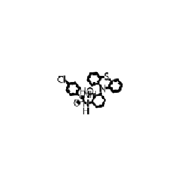 N=S(=O)(NC1CCCC(N2c3ccccc3Sc3ccccc32)C1O)c1ccc(Cl)cc1